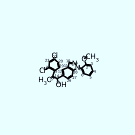 COc1ccccc1-n1ncc2cc(C(O)C(C)c3ccc(Cl)cc3Cl)ccc21